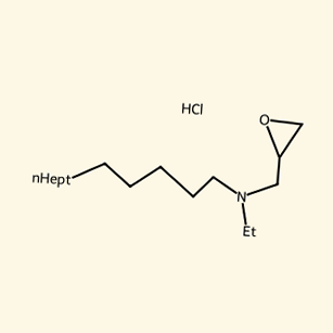 CCCCCCCCCCCCN(CC)CC1CO1.Cl